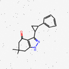 CC1(C)CC(=O)c2c(C3CC3c3ccccc3)n[nH]c2C1